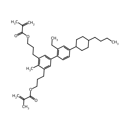 C=C(C)C(=O)OCCCc1cc(-c2ccc(C3CCC(CCCC)CC3)cc2CC)cc(CCCOC(=O)C(=C)C)c1C